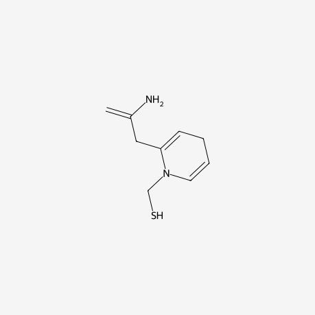 C=C(N)CC1=CCC=CN1CS